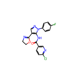 O=C(Nc1c(C2=NCCO2)cnn1-c1ccc(F)cc1)c1ccc(Cl)nc1